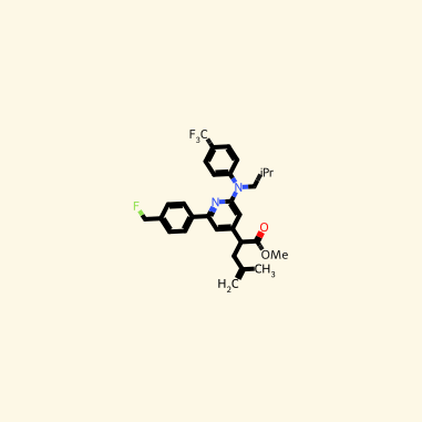 C=C(C)CC(C(=O)OC)c1cc(-c2ccc(CF)cc2)nc(N(CC(C)C)c2ccc(C(F)(F)F)cc2)c1